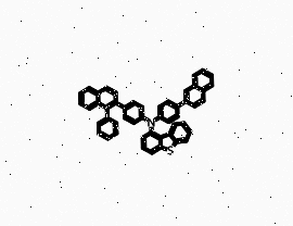 c1ccc(-c2c(-c3ccc(N(c4ccc(-c5ccc6ccccc6c5)cc4)c4cccc5sc6ccccc6c45)cc3)ccc3ccccc23)cc1